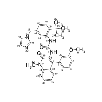 COc1cccc(-c2c(NC(=O)Nc3cc(Cn4ccnc4)ccc3C(C)(C)C)c(=O)n(C)c3ncccc23)c1